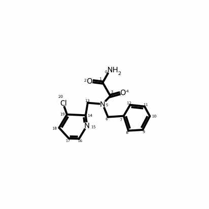 NC(=O)C(=O)N(Cc1ccccc1)Cc1ncccc1Cl